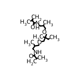 C=C(C)C(=O)NCC(C)COCC(C)(CC)COCC(C)CNC(=O)C(=C)C